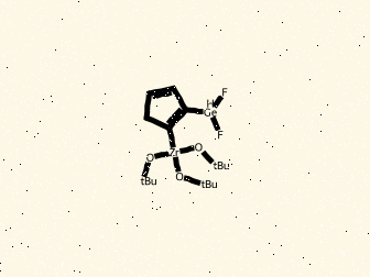 CC(C)(C)[O][Zr]([O]C(C)(C)C)([O]C(C)(C)C)[C]1=[C]([GeH]([F])[F])C=CC1